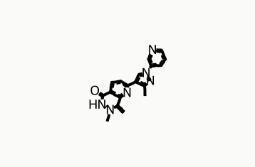 C=C1c2nc(-c3cn(-c4cccnc4)nc3C)ccc2C(=O)NN1C